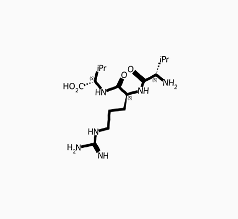 CC(C)[C@H](N)C(=O)N[C@@H](CCCNC(=N)N)C(=O)N[C@H](C(=O)O)C(C)C